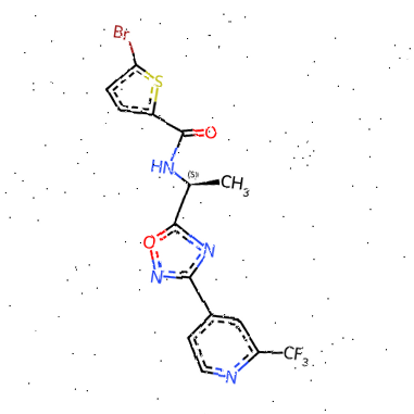 C[C@H](NC(=O)c1ccc(Br)s1)c1nc(-c2ccnc(C(F)(F)F)c2)no1